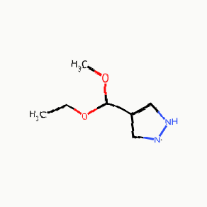 CCOC(OC)C1C[N]NC1